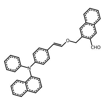 O=Cc1cc2ccccc2cc1COC=Cc1ccc(N(c2ccccc2)c2cccc3ccccc23)cc1